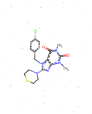 Cn1c(=O)c2c(nc(N3CCSCC3)n2Cc2ccc(Cl)cc2)n(C)c1=O